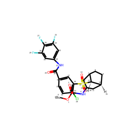 CC(C)(C)OC(=O)NC1CC2CC[C@@H](C1)[C@H]2S(=O)(=O)c1cc(C(=O)Nc2cc(F)c(F)c(F)c2)ccc1Cl